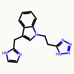 c1ccc2c(c1)c(Cc1ncc[nH]1)cn2CCc1nnn[nH]1